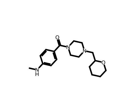 CNc1ccc(C(=O)N2CCN(CC3CCCCO3)CC2)cc1